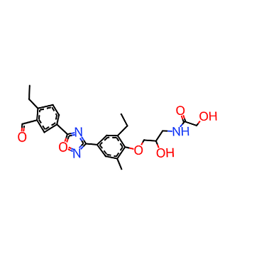 CCc1ccc(-c2nc(-c3cc(C)c(OCC(O)CNC(=O)CO)c(CC)c3)no2)cc1C=O